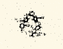 COc1nc(Nc2cc(-c3ccc(OC4CCN(C(=O)[C@H](O)C(F)F)CC4)c(C#N)c3)ncn2)ccc1N1CCN(C)C[C@@H]1C.Cl